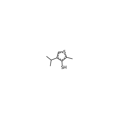 Cc1scc(C(C)C)c1S